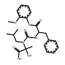 COc1ccccc1OC(=O)C(Cc1ccccc1)NC(=O)N(CC(C)C)C(C)(O)C(=O)O